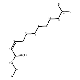 CCOC(=O)/C=C\CCCCCCCC(C)C